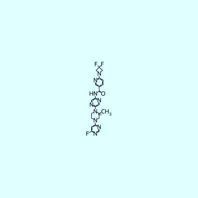 C[C@H]1CN(c2cc(F)ncn2)CCN1c1cnc(NC(=O)c2ccc(N3CC(F)(F)C3)nc2)cn1